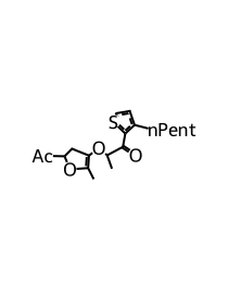 CCCCCc1ccsc1C(=O)C(C)OC1=C(C)OC(C(C)=O)C1